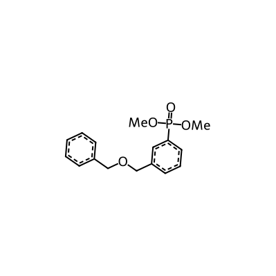 COP(=O)(OC)c1cccc(COCc2ccccc2)c1